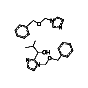 CC(C)C(O)c1nccn1COCc1ccccc1.c1ccc(COCn2ccnc2)cc1